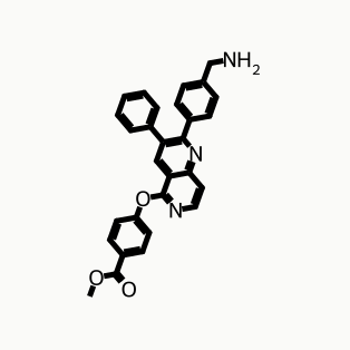 COC(=O)c1ccc(Oc2nccc3nc(-c4ccc(CN)cc4)c(-c4ccccc4)cc23)cc1